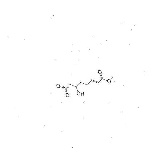 COC(=O)/C=C/CCC(O)C[N+](=O)[O-]